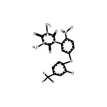 Cn1c(=O)n(C)c(=O)n(-c2cc(Oc3ccc(C(F)(F)F)cc3Cl)ccc2[N+](=O)[O-])c1=O